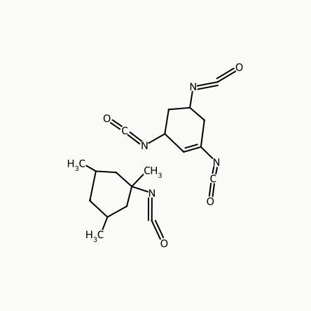 CC1CC(C)CC(C)(N=C=O)C1.O=C=NC1=CC(N=C=O)CC(N=C=O)C1